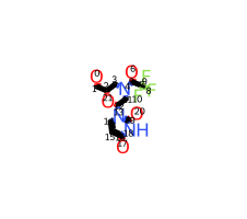 O=CC1CN(C(=O)C(F)(F)F)CC(n2ccc(=O)[nH]c2=O)O1